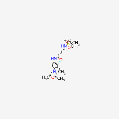 CCc1c(N2C[C@@H](C)O[C@@H](C)C2)ccc(NC(=O)CCCCNS(=O)(=O)C(C)(C)C)c1F